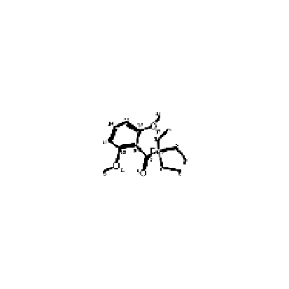 C[CH2][Ge]([CH2]C)([CH2]C)[C](=O)c1c(OC)cccc1OC